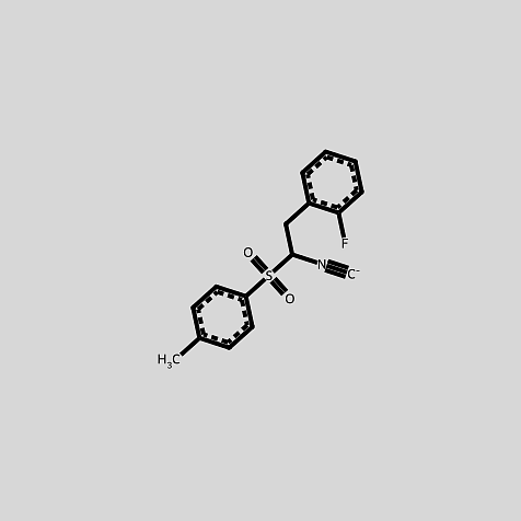 [C-]#[N+]C(Cc1ccccc1F)S(=O)(=O)c1ccc(C)cc1